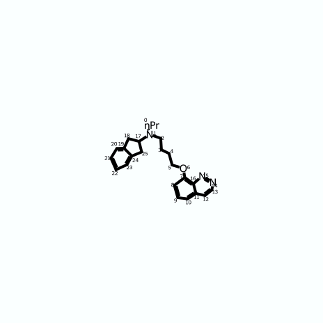 CCCN(CCCCOc1cccc2ccnnc12)C1Cc2ccccc2C1